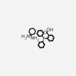 NC1(N)CCCCC1.O=C(O)c1ccccc1P(c1ccccc1)c1ccccc1